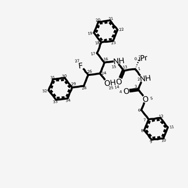 CC(C)[C@H](NC(=O)OCc1ccccc1)C(=O)NC(Cc1ccccc1)C(O)C(F)Cc1ccccc1